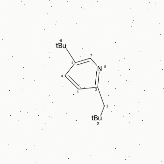 CC(C)(C)Cc1ccc(C(C)(C)C)cn1